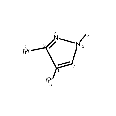 CC(C)c1cn(C)nc1C(C)C